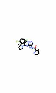 Cc1cccnc1C(=O)Nc1cnn2ccc(N3CCC[C@]3(C)c3cc(F)ccc3F)nc12